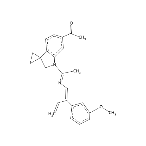 C=C/C(=C\N=C(/C)N1CC2(CC2)c2ccc(C(C)=O)cc21)c1cccc(OC)c1